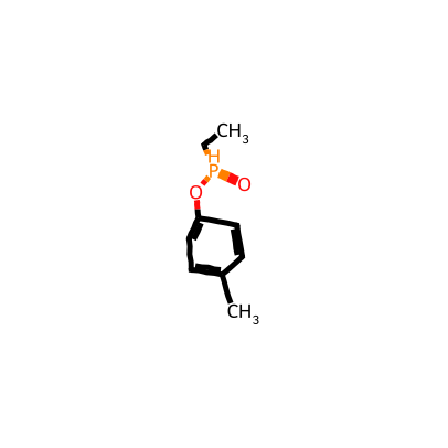 CC[PH](=O)Oc1ccc(C)cc1